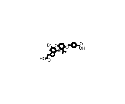 CC(C)c1cc(Oc2c(Br)cc3c(c2Br)CCC3CC(=O)O)ccc1OCc1ccc(C(=O)O)cc1